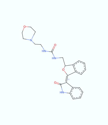 O=C(NCCN1CCOCC1)NCC1O/C(=C2\C(=O)Nc3ccccc32)c2ccccc21